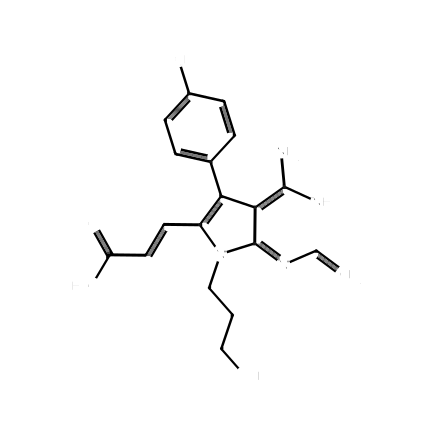 C=C/N=C1\C(=C(N)N)C(c2ccc(C)cc2)=C(/C=C/C(C)=O)N1CCCO